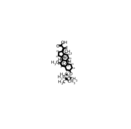 C[C@@H]1C=C2CC(O[Si](C)(C)C(C)(C)C)CC[C@]2(C)[C@H]2CC[C@]3(C)C(=C(F)C(=O)O)CC[C@H]3[C@H]12